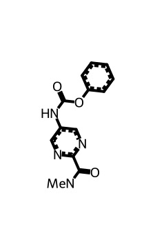 CNC(=O)c1ncc(NC(=O)Oc2ccccc2)cn1